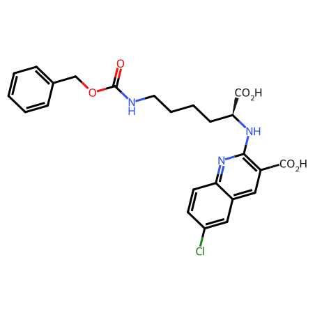 O=C(NCCCC[C@H](Nc1nc2ccc(Cl)cc2cc1C(=O)O)C(=O)O)OCc1ccccc1